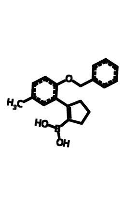 Cc1ccc(OCc2ccccc2)c(C2=C(B(O)O)CCC2)c1